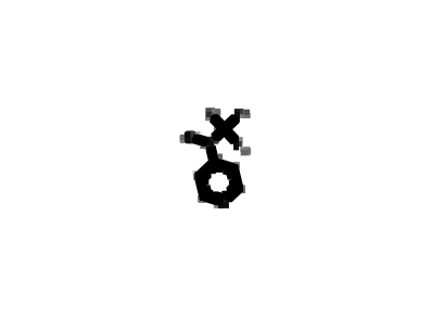 [O-][S+](c1c[c]ncc1)C(F)(F)F